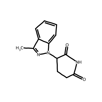 Cc1nn(C2CCC(=O)NC2=O)c2ccccc12